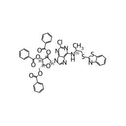 C[C@@H](CSc1nc2ccccc2s1)Nc1nc(Cl)nc2c1ncn2[C@@H]1O[C@H](COC(=O)c2ccccc2)[C@@H](OC(=O)c2ccccc2)[C@H]1OC(=O)c1ccccc1